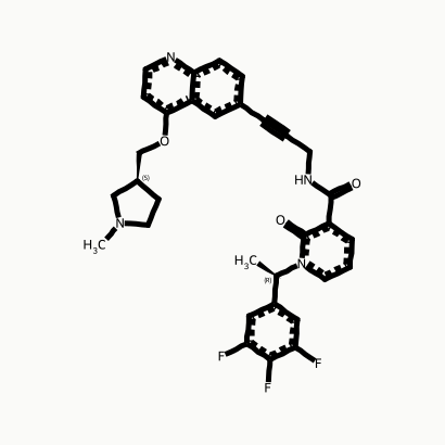 C[C@H](c1cc(F)c(F)c(F)c1)n1cccc(C(=O)NCC#Cc2ccc3nccc(OC[C@H]4CCN(C)C4)c3c2)c1=O